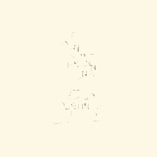 Cn1nc(OC(F)F)cc1Nc1nncn1[C@H]1CCc2sc(NC(=O)[C@H]3C[C@@H]3F)c(C(=O)N[C@@H]3CC34CC4)c2C1